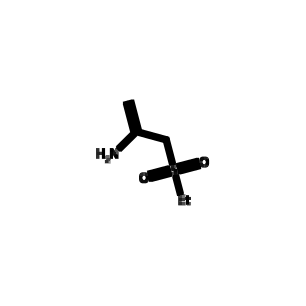 [CH2]CS(=O)(=O)CC(=C)N